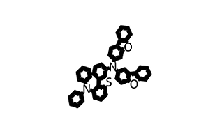 c1ccc(N(c2ccccc2)c2cccc3sc4c(N(c5ccc6c(c5)oc5ccccc56)c5ccc6oc7ccccc7c6c5)cccc4c23)cc1